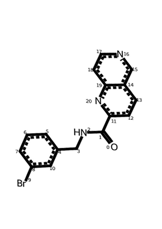 O=C(NCc1cccc(Br)c1)c1ccc2cnccc2n1